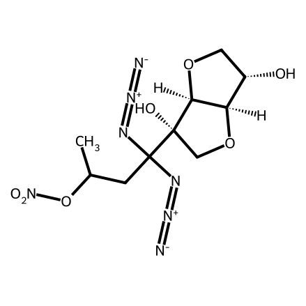 CC(CC(N=[N+]=[N-])(N=[N+]=[N-])[C@]1(O)CO[C@@H]2[C@@H](O)CO[C@@H]21)O[N+](=O)[O-]